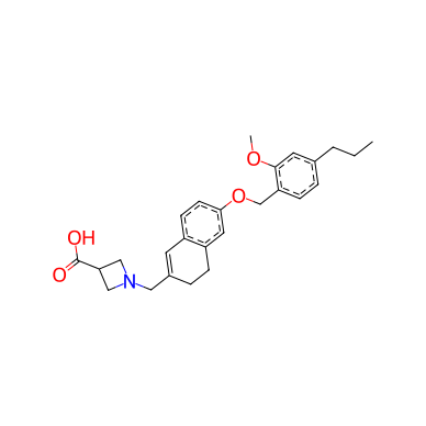 CCCc1ccc(COc2ccc3c(c2)CCC(CN2CC(C(=O)O)C2)=C3)c(OC)c1